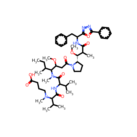 CCC(C)C(C(CC(=O)N1CCC[C@H]1C(OC)C(C)C(=O)NC(Cc1ccccc1)c1nnc(-c2ccccc2)o1)OC)N(C)C(=O)C(NC(=O)C(C(C)C)N(C)CCCC(=O)O)C(C)C